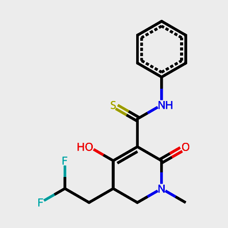 CN1CC(CC(F)F)C(O)=C(C(=S)Nc2ccccc2)C1=O